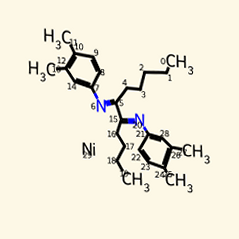 CCCCCC(=N\c1ccc(C)c(C)c1)/C(CCCC)=N/c1ccc(C)c(C)c1.[Ni]